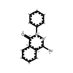 CC(=O)c1nn(-c2ccccc2)c(=O)c2ccccc12